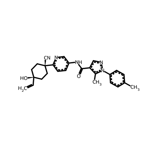 C=C[C@]1(O)CC[C@](C#N)(c2ccc(NC(=O)c3cnn(-c4ccc(C)cc4)c3C)cn2)CC1